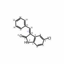 O=C1Nc2ccc(Cl)cc2/C1=C/c1ccccc1